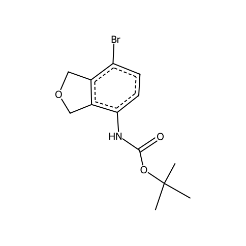 CC(C)(C)OC(=O)Nc1ccc(Br)c2c1COC2